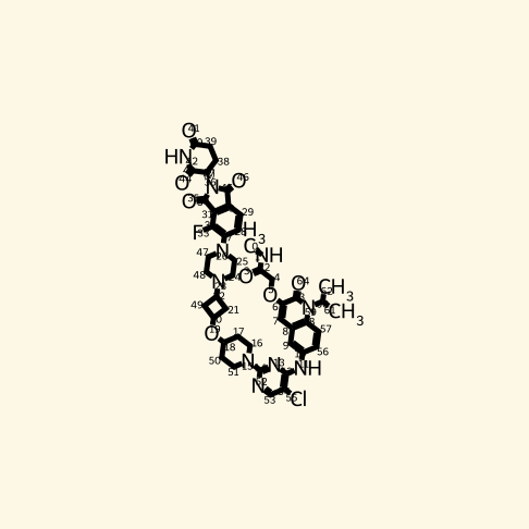 CNC(=O)COc1cc2cc(Nc3nc(N4CCC(OC5CC(N6CCN(c7ccc8c(c7F)C(=O)N([C@@H]7CCC(=O)NC7=O)C8=O)CC6)C5)CC4)ncc3Cl)ccc2n(C(C)C)c1=O